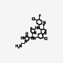 N#Cc1cnc2c(Cl)cc(N[C@H](C3=CN(CCN)NN3)c3cscn3)cc2c1Nc1ccc(F)c(Cl)c1